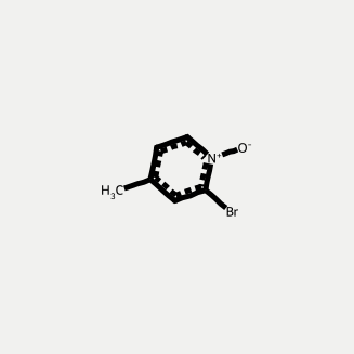 Cc1cc[n+]([O-])c(Br)c1